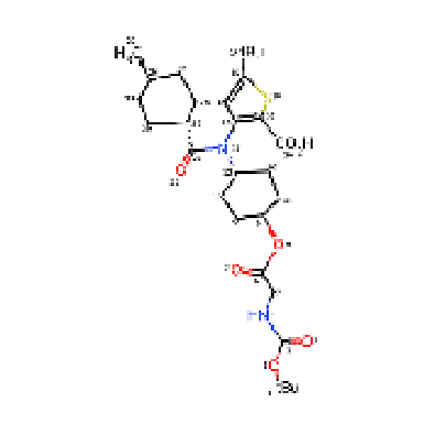 CC(C)(C)OC(=O)NCC(=O)O[C@H]1CC[C@H](N(c2cc(C(C)(C)C)sc2C(=O)O)C(=O)[C@H]2CC[C@H](C)CC2)CC1